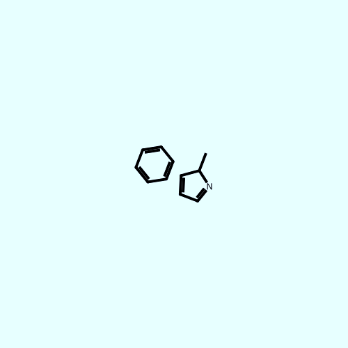 CC1C=CC=N1.c1ccccc1